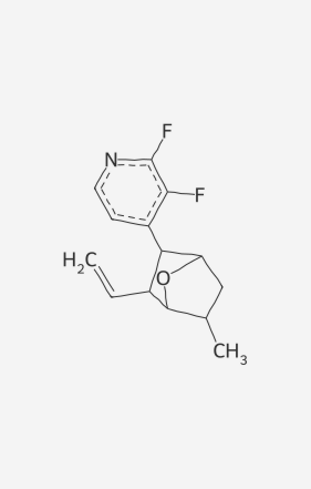 C=CC1C2OC(CC2C)C1c1ccnc(F)c1F